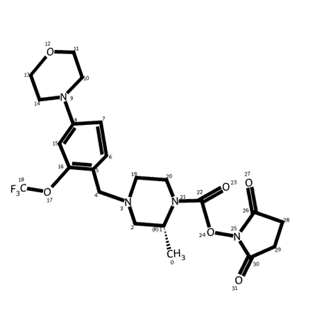 C[C@@H]1CN(Cc2ccc(N3CCOCC3)cc2OC(F)(F)F)CCN1C(=O)ON1C(=O)CCC1=O